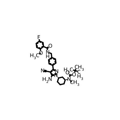 COc1ccc(F)cc1C(=O)NCc1ccc(-c2nn([C@H]3CCC[C@H](N(C)C(=O)OC(C)(C)C)C3)c(N)c2C#N)cc1